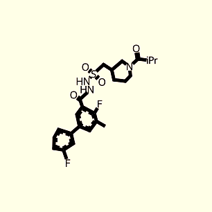 Cc1cc(-c2cccc(F)c2)cc(C(=O)NNS(=O)(=O)CC2CCCN(C(=O)C(C)C)C2)c1F